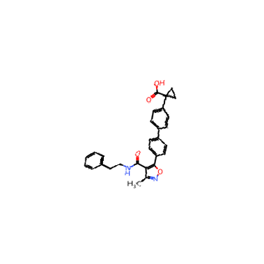 Cc1noc(-c2ccc(-c3ccc(C4(C(=O)O)CC4)cc3)cc2)c1C(=O)NCCc1ccccc1